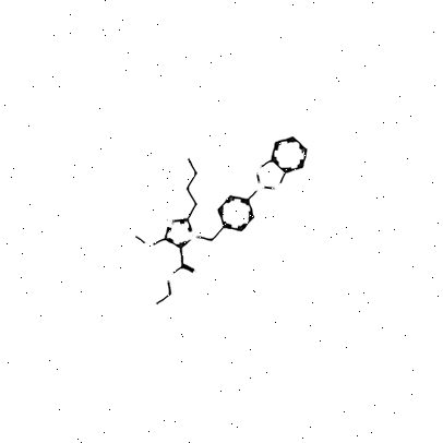 CCCCc1nc(SC)c(C(=O)OCC)n1Cc1ccc(B2Oc3ccccc3O2)cc1